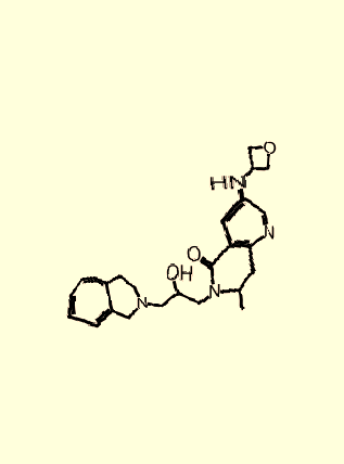 CC1Cc2ncc(NC3COC3)cc2C(=O)N1CC(O)CN1CCc2ccccc2C1